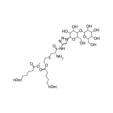 CCCCCCCCCCCCCCC(=O)OC[C@H](CSC[C@@H](N)C(=O)Nc1cn([C@@H]2OC(CO)C(OC3OC(CO)C(O)C(O)C3O)C(O)C2O)nn1)OC(=O)CCCCCCCCCCCCCC